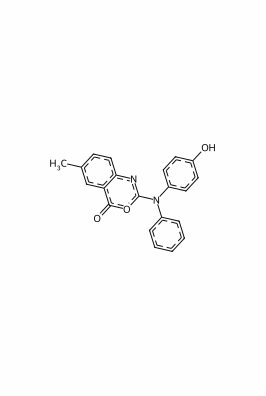 Cc1ccc2nc(N(c3ccccc3)c3ccc(O)cc3)oc(=O)c2c1